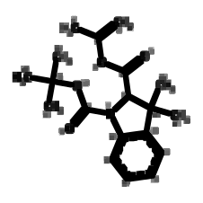 C=C(C)OC(=O)C1N(C(=O)OC(C)(C)C)c2ccccc2C1(C)C